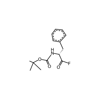 CC(C)(C)OC(=O)N[C@H](Cc1ccccc1)C(=O)F